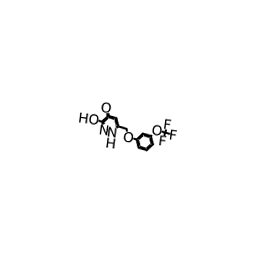 O=c1cc(COc2cccc(OC(F)(F)F)c2)[nH]nc1O